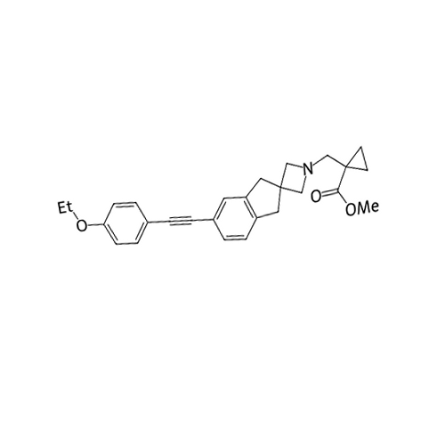 CCOc1ccc(C#Cc2ccc3c(c2)CC2(C3)CN(CC3(C(=O)OC)CC3)C2)cc1